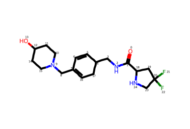 O=C(NCC1C=CC(CN2CCC(O)CC2)=CC1)C1CC(F)(F)CN1